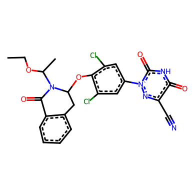 CCOC(C)N1C(=O)c2ccccc2CC1Oc1c(Cl)cc(-n2nc(C#N)c(=O)[nH]c2=O)cc1Cl